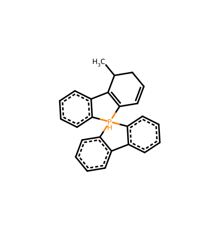 CC1CC=CC2=C1c1ccccc1[PH]21c2ccccc2-c2ccccc21